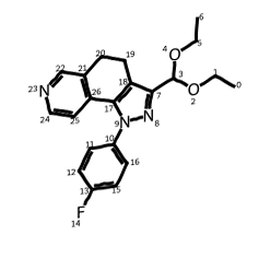 CCOC(OCC)c1nn(-c2ccc(F)cc2)c2c1CCc1cnccc1-2